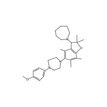 COc1ccc(N2CCN(c3c(C)c(C)c4c(c3C)C(N3CCCCCC3)C(C)(C)O4)CC2)cc1